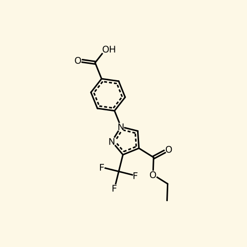 CCOC(=O)c1cn(-c2ccc(C(=O)O)cc2)nc1C(F)(F)F